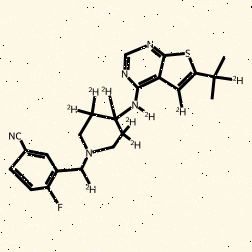 [2H]c1c(C([2H])(C)C)sc2ncnc(N([2H])C3([2H])C([2H])([2H])CN(C([2H])c4cc(C#N)ccc4F)CC3([2H])[2H])c12